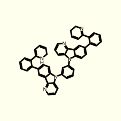 C1=CCNC(c2ccccc2-c2ccc3c(c2)c2ncccc2n3-c2cccc(-n3c4ccc(-c5ccccc5C5=NCCC=C5)cc4c4ncccc43)c2)=C1